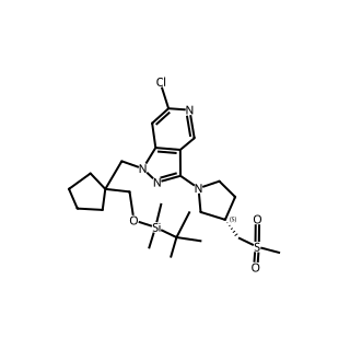 CC(C)(C)[Si](C)(C)OCC1(Cn2nc(N3CC[C@H](CS(C)(=O)=O)C3)c3cnc(Cl)cc32)CCCC1